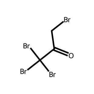 O=C(CBr)C(Br)(Br)Br